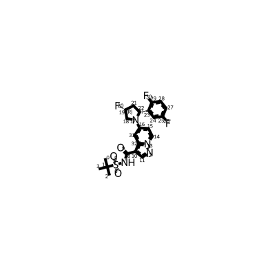 CC(C)(C)S(=O)(=O)NC(=O)c1cnn2ccc(N3C[C@H](F)C[C@@H]3c3cc(F)ccc3F)cc12